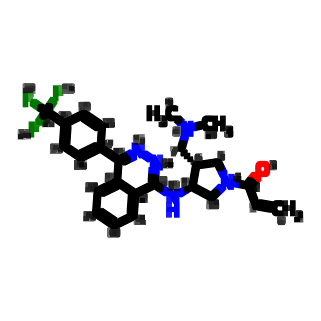 C=CC(=O)N1C[C@@H](CN(C)C)[C@H](Nc2nnc(-c3ccc(C(F)(F)F)cc3)c3ccccc23)C1